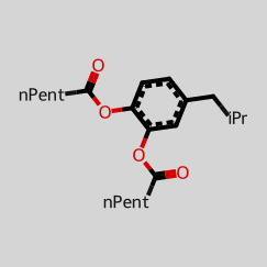 CCCCCC(=O)Oc1ccc(CC(C)C)cc1OC(=O)CCCCC